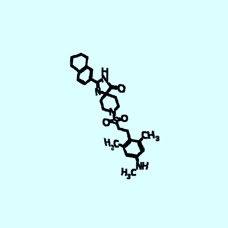 CNc1cc(C)c(CCS(=O)(=O)N2CCC3(CC2)N=C(c2ccc4c(c2)CCCC4)NC3=O)c(C)c1